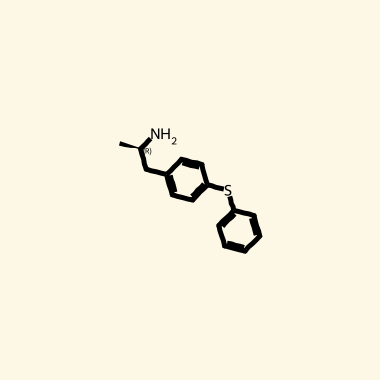 C[C@@H](N)Cc1ccc(Sc2ccccc2)cc1